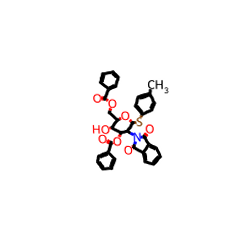 Cc1ccc(SC2OC(COC(=O)c3ccccc3)C(O)C(OC(=O)c3ccccc3)C2N2C(=O)c3ccccc3C2=O)cc1